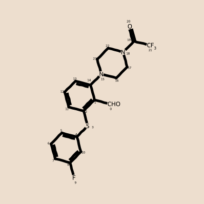 O=Cc1c(Sc2cccc(F)c2)cccc1N1CCN(C(=O)C(F)(F)F)CC1